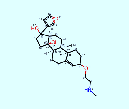 CNCCOC1C=C2CC[C@@H]3[C@@H](CC[C@]4(C)C(O)(c5ccoc5)CC[C@@]34O)[C@@]2(C)CC1